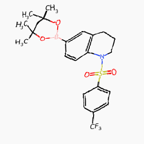 CC1(C)OB(c2ccc3c(c2)CCCN3S(=O)(=O)c2ccc(C(F)(F)F)cc2)OC1(C)C